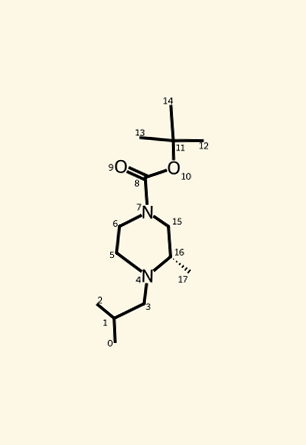 CC(C)CN1CCN(C(=O)OC(C)(C)C)C[C@@H]1C